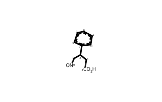 O=NCC(CC(=O)O)c1ccccc1